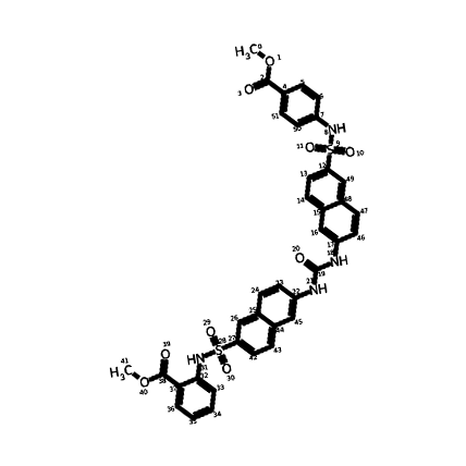 COC(=O)c1ccc(NS(=O)(=O)c2ccc3cc(NC(=O)Nc4ccc5cc(S(=O)(=O)Nc6ccccc6C(=O)OC)ccc5c4)ccc3c2)cc1